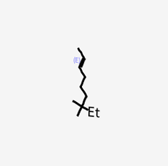 [CH2]CC(C)(C)CCC/C=C/C